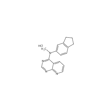 CN(c1ccc2c(c1)CCC2)c1ncnc2ncccc12.Cl